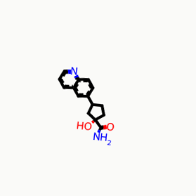 NC(=O)C1(O)CCC(c2ccc3ncccc3c2)C1